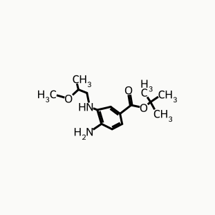 COC(C)CNc1cc(C(=O)OC(C)(C)C)ccc1N